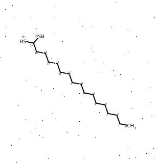 CCCCCCCCCCCCCCCCC(S)S